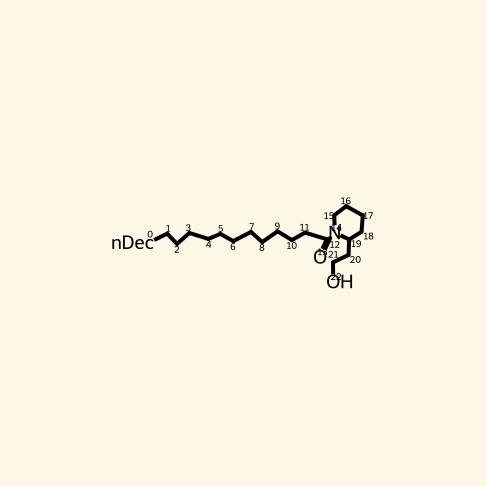 CCCCCCCCCCCCCCCCCCCCCC(=O)N1CCCCC1CCO